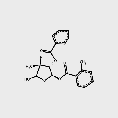 Cc1ccccc1C(=O)O[C@H]1OC(O)[C@](C)(F)[C@@H]1OC(=O)c1ccccc1